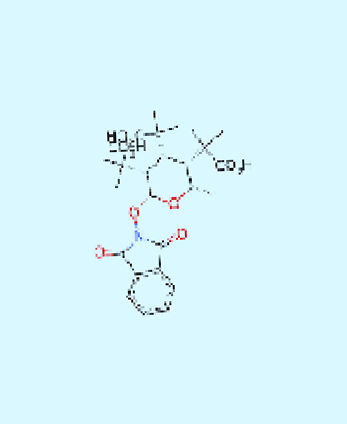 C[C@@H]1O[C@H](ON2C(=O)c3ccccc3C2=O)[C@H](C(C)(C)C(=O)O)[C@H](C(C)(C)C(=O)O)[C@@H]1C(C)(C)C(=O)O